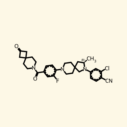 C[C@@H]1CC2(CCN(c3ccc(C(=O)N4CCC5(CC4)CC(=O)C5)cc3F)CC2)CN1c1ccc(C#N)c(Cl)c1